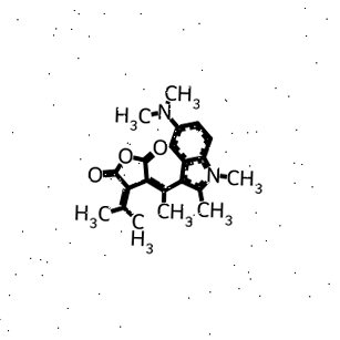 CC(C)=C1C(=O)OC(=O)C1=C(C)c1c(C)n(C)c2ccc(N(C)C)cc12